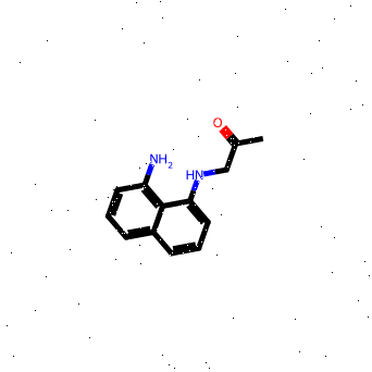 CC(=O)CNc1cccc2cc[c]c(N)c12